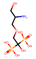 NC(CO)COCC(O)(P(=O)(O)O)P(=O)(O)O